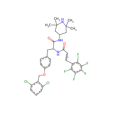 CC1(C)CC(NC(=O)C(Cc2ccc(OCc3c(Cl)cccc3Cl)cc2)NC(=O)/C=C/c2c(F)c(F)c(F)c(F)c2F)CC(C)(C)N1